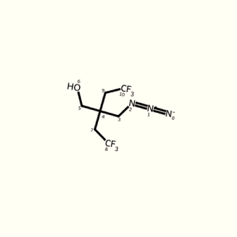 [N-]=[N+]=NCC(CO)(CC(F)(F)F)CC(F)(F)F